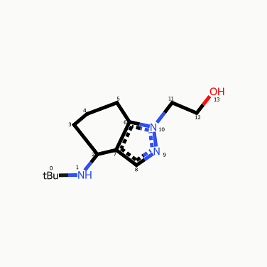 CC(C)(C)NC1CCCc2c1cnn2CCO